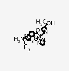 Cc1cc2cc(C(=O)N(Cc3ccc(C(C)O)cn3)N(C)c3ncccn3)ccc2nc1N